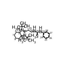 CC(C)(C)N1[C@@H]2CCCC[C@H]2N(C(C)(C)C)P1CCNC(=S)Nc1ccccc1